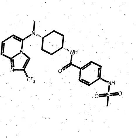 CN(c1cccc2nc(C(F)(F)F)cn12)[C@H]1CC[C@@H](NC(=O)c2ccc(NS(C)(=O)=O)cc2)CC1